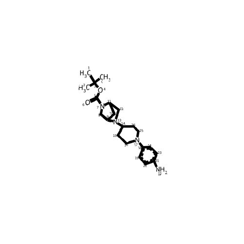 CC(C)(C)OC(=O)N1CC2CC1CN2C1CCN(c2ccc(N)cc2)CC1